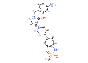 CS(=O)(=O)Nc1ccc(C2CCN([C@@H]3CCN(Cc4ccc(N)cc4)C3=O)CC2)cc1